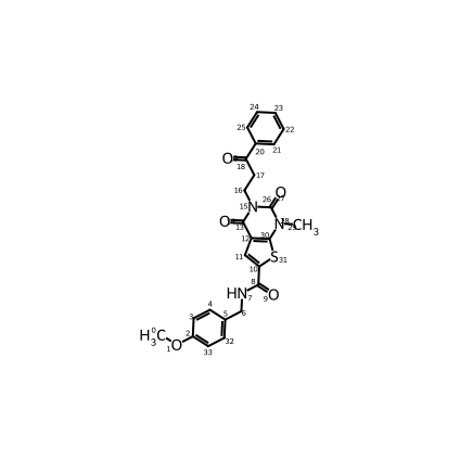 COc1ccc(CNC(=O)c2cc3c(=O)n(CCC(=O)c4ccccc4)c(=O)n(C)c3s2)cc1